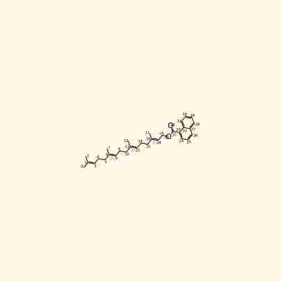 CC(C)=CCC/C(C)=C/CC/C(C)=C/CC/C(C)=C/COC(=O)c1cccc2ccccc12